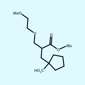 COCCOCC(CC1(C(=O)O)CCCC1)C(=O)OC(C)(C)C